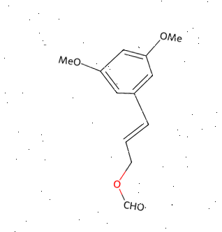 COc1cc(C=CCO[C]=O)cc(OC)c1